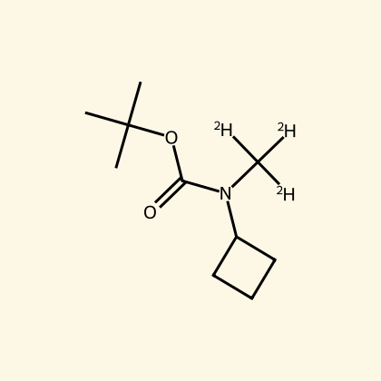 [2H]C([2H])([2H])N(C(=O)OC(C)(C)C)C1CCC1